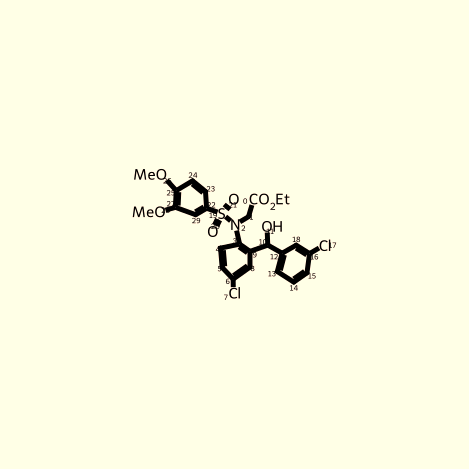 CCOC(=O)CN(c1ccc(Cl)cc1C(O)c1cccc(Cl)c1)S(=O)(=O)c1ccc(OC)c(OC)c1